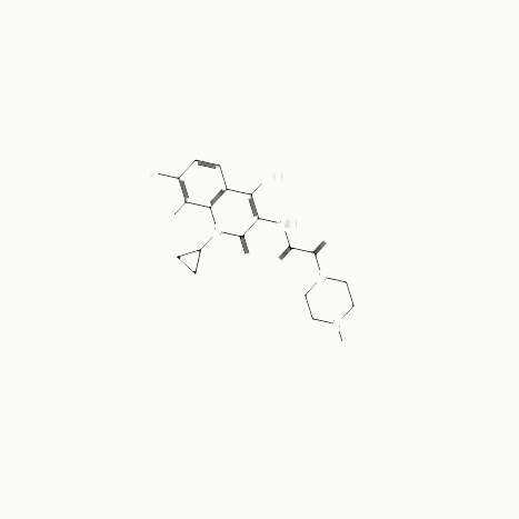 Cc1c(Br)ccc2c(O)c(NC(=O)C(=O)N3CCN(C(=O)O)CC3)c(=O)n(C3CC3)c12